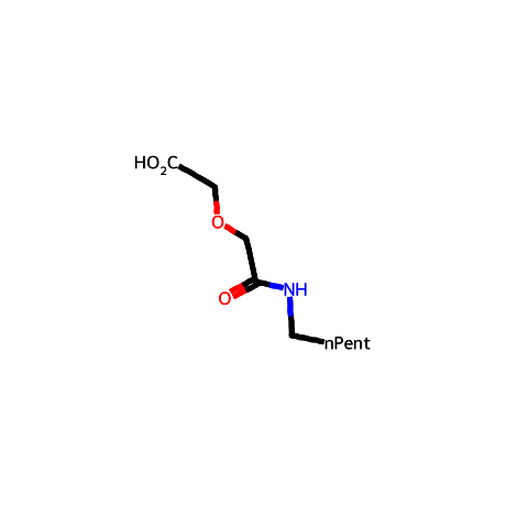 CCCCCCNC(=O)COCC(=O)O